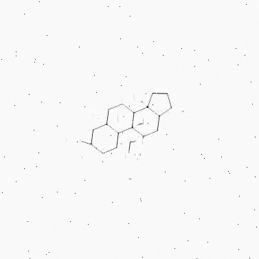 CC[C@H]1CC[C@H]2[C@@H]3CC[C@@H]4C[C@](C)(O)CC[C@]4(C(C)OC)[C@H]3CC[C@]12C